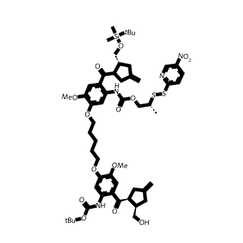 C=C1CC(C(=O)c2cc(OC)c(OCCCCCOc3cc(NC(=O)OC(C)(C)C)c(C(=O)[C@H]4CC(=C)C[C@H]4CO)cc3OC)cc2NC(=O)OC[C@@H](C)SSc2ccc([N+](=O)[O-])cn2)[C@H](CO[Si](C)(C)C(C)(C)C)C1